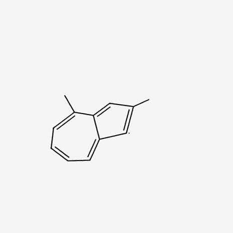 Cc1[c]c2ccccc(C)c-2c1